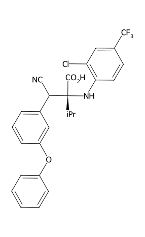 CC(C)[C@](Nc1ccc(C(F)(F)F)cc1Cl)(C(=O)O)C(C#N)c1cccc(Oc2ccccc2)c1